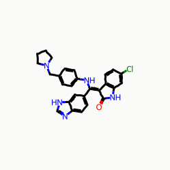 O=C1Nc2cc(Cl)ccc2C1=C(Nc1ccc(CN2CCCC2)cc1)c1ccc2nc[nH]c2c1